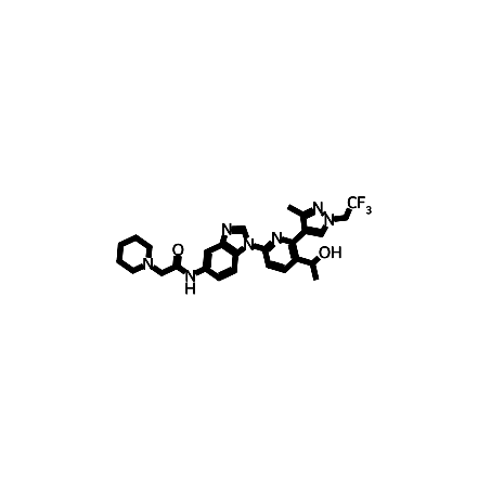 Cc1nn(CC(F)(F)F)cc1-c1nc(-n2cnc3cc(NC(=O)CN4CCCCC4)ccc32)ccc1C(C)O